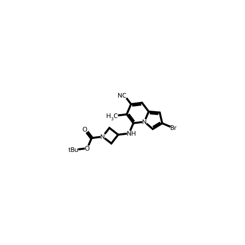 Cc1c(C#N)cc2cc(Br)cn2c1NC1CN(C(=O)OC(C)(C)C)C1